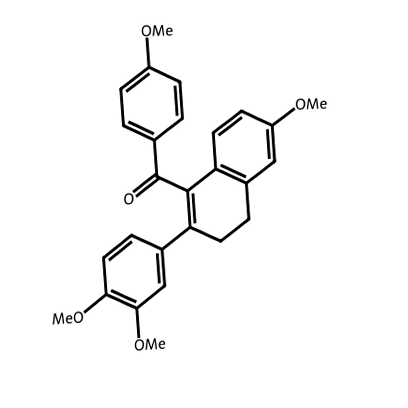 COc1ccc(C(=O)C2=C(c3ccc(OC)c(OC)c3)CCc3cc(OC)ccc32)cc1